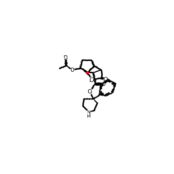 CC(=O)OC12CCC3C(C(=O)OC31)C(C(=O)OC1(c3ccccc3)CCNCC1)C2